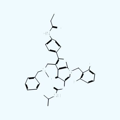 CCC(=O)Nc1ccc(-c2sc3c(c2CN(C)Cc2ccccc2)c(=O)c(OC(=O)NC(C)C)cn3Cc2c(F)cccc2Cl)cc1